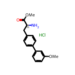 COC(=O)[C@@H](N)Cc1ccc(-c2cccc(OC)c2)cc1.Cl